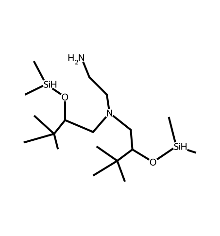 C[SiH](C)OC(CN(CCN)CC(O[SiH](C)C)C(C)(C)C)C(C)(C)C